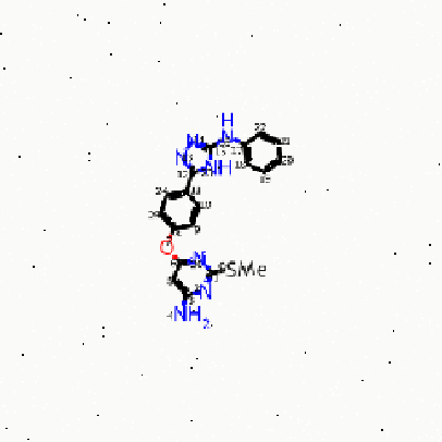 CSc1nc(N)cc(Oc2ccc(-c3nnc(Nc4ccccc4)[nH]3)cc2)n1